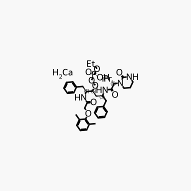 CCOP(=O)(O)OO[C@@H](C[C@H](Cc1ccccc1)NC(=O)[C@H](C(C)C)N1CCCNC1=O)[C@H](Cc1ccccc1)NC(=O)COc1c(C)cccc1C.[CaH2]